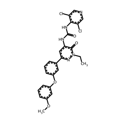 CCn1nc(-c2cccc(Oc3cccc(OC)c3)c2)cc(NC(=O)Nc2c(Cl)cncc2Cl)c1=O